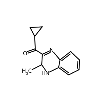 CC1Nc2ccccc2N=C1C(=O)C1CC1